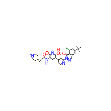 CN1CCC2(CC1)C[C@@H]2C(=O)Nc1cc(-c2ccnc(-n3ncc4cc(C(C)(C)C)cc(F)c4c3=O)c2CO)cn(C)c1=O